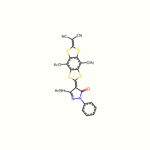 CC(=O)NC1=NN(c2ccccc2)C(=O)C1=C1Sc2c(OC(C)=O)c3c(c(OC(C)=O)c2S1)SC(=C(C#N)C#N)S3